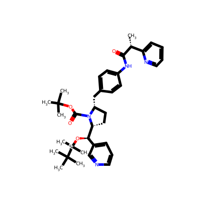 C[C@@H](C(=O)Nc1ccc(C[C@@H]2CC[C@H]([C@H](O[Si](C)(C)C(C)(C)C)c3cccnc3)N2C(=O)OC(C)(C)C)cc1)c1ccccn1